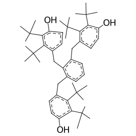 CC(C)(C)c1c(O)ccc(Cc2cccc(Cc3ccc(O)c(C(C)(C)C)c3C(C)(C)C)c2Cc2ccc(O)c(C(C)(C)C)c2C(C)(C)C)c1C(C)(C)C